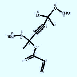 C=CC(=O)OC(C)(C#CC(C)(CC)OC=O)NCCCC